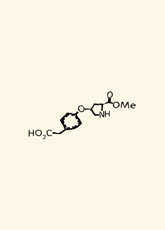 COC(=O)[C@@H]1C[C@H](Oc2ccc(CC(=O)O)cc2)CN1